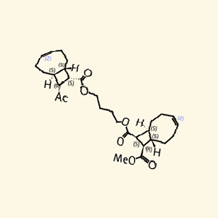 COC(=O)[C@@H]1[C@H]2CC/C=C\CC[C@@H]2[C@@H]1C(=O)OCCCCOC(=O)[C@H]1[C@H]2CC/C=C\CC[C@@H]2[C@H]1C(C)=O